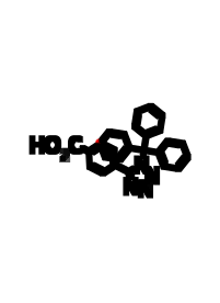 O=C(O)c1ccc(-c2nnnn2C(c2ccccc2)(c2ccccc2)c2ccccc2)cc1